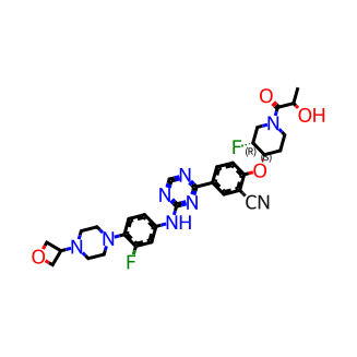 CC(O)C(=O)N1CC[C@H](Oc2ccc(-c3ncnc(Nc4ccc(N5CCN(C6COC6)CC5)c(F)c4)n3)cc2C#N)[C@H](F)C1